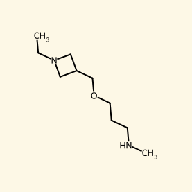 CCN1CC(COCCCNC)C1